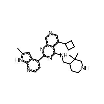 Cc1cc2c(-c3nc(NCC4CCNCC4(C)C)c4c(C5CCC5)cncc4n3)ccnc2[nH]1